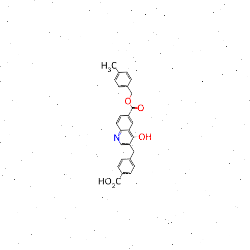 Cc1ccc(COC(=O)c2ccc3ncc(Cc4ccc(C(=O)O)cc4)c(O)c3c2)cc1